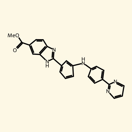 COC(=O)c1ccc2nc(-c3cccc(Nc4ccc(-c5ncccn5)cc4)c3)[nH]c2c1